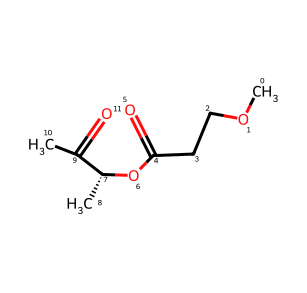 COCCC(=O)O[C@H](C)C(C)=O